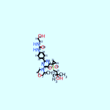 C[C@H]1COCCN1c1cc(C2(S(=O)(=O)CCC(C)(C)O)CC2)nc(-c2ccc(NC(=O)NCCO)cc2)n1